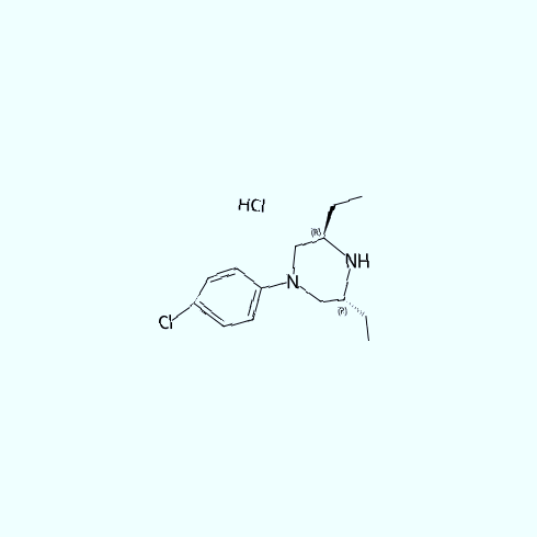 CC[C@@H]1CN(c2ccc(Cl)cc2)C[C@@H](CC)N1.Cl